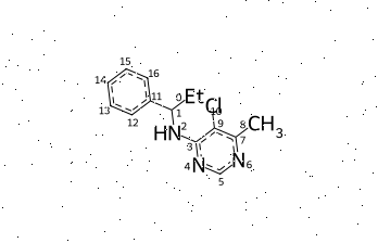 CCC(Nc1ncnc(C)c1Cl)c1ccccc1